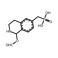 O=COC1NCCc2cc(CP(=O)(O)O)ccc21